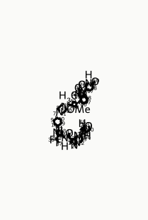 CO[C@]1(CN2CCN(C[C@H]3CC[C@H](n4cc(NC(=O)c5cnn6ccc(N7C[C@H]8C[C@@H]7CO8)nc56)c(C(F)F)n4)CC3)CC2)C[C@@H](c2cccc3c2n(C)c(=O)n3C2CCC(=O)NC2=O)C1